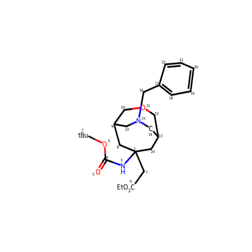 CCOC(=O)CC1(NC(=O)OC(C)(C)C)CC2COCC(CN(Cc3ccccc3)C2)C1